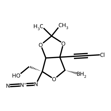 B[C@@H]1O[C@@](CO)(N=[N+]=[N-])C2OC(C)(C)OC21C#CCl